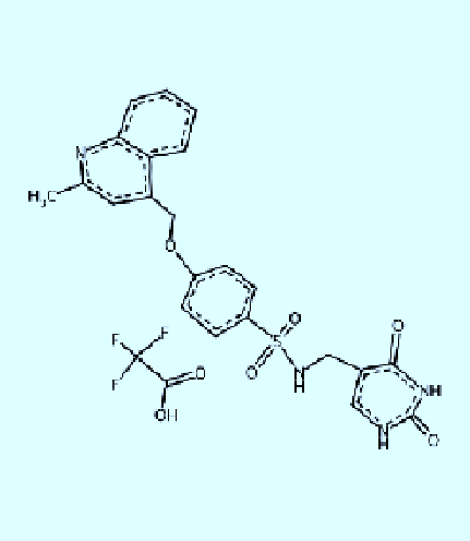 Cc1cc(COc2ccc(S(=O)(=O)NCc3c[nH]c(=O)[nH]c3=O)cc2)c2ccccc2n1.O=C(O)C(F)(F)F